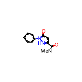 CNC(=O)c1cc(=O)n(-c2ccccc2)[nH]1